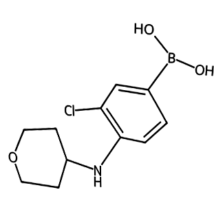 OB(O)c1ccc(NC2CCOCC2)c(Cl)c1